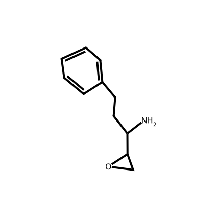 NC(CCc1ccccc1)C1CO1